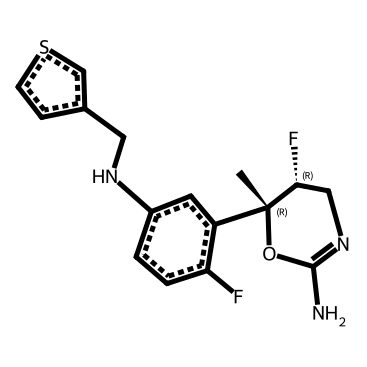 C[C@]1(c2cc(NCc3ccsc3)ccc2F)OC(N)=NC[C@H]1F